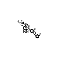 C=CC(=O)N1CCOc2c1ccc1ncnc(Nc3ccc(OCc4cccc(F)c4)c(F)c3)c21